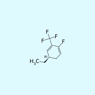 CC[C@H]1C=C(C(F)(F)F)C(F)=CC1